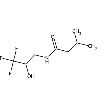 CC(C)CC(=O)NCC(O)C(F)(F)F